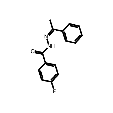 CC(=NNC(=O)c1ccc(F)cc1)c1ccccc1